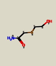 NC(=O)CSCCO